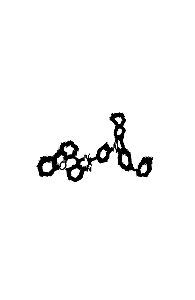 c1ccc(-c2ccc3c(c2)c2cc4ccccc4cc2n3-c2ccc(-c3nc(-c4cccc5c4oc4ccccc45)c4ccccc4n3)cc2)cc1